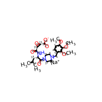 COc1ccc(CN2CCN(C(=O)[C@H](CC(C)C)NC(=O)[C@H]3O[C@@H]3C(=O)[O-])CC2)c(OC)c1OC.[Na+]